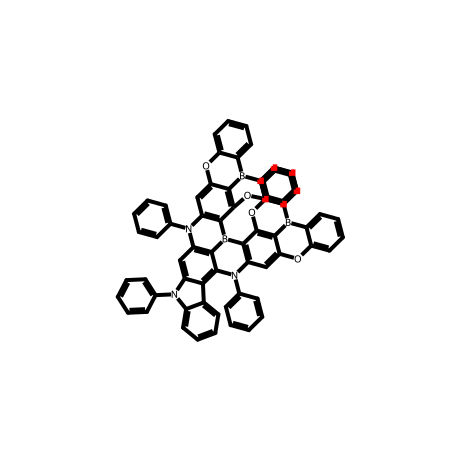 c1ccc(N2c3cc4c5c(c3B3c6c(cc7c8c6Oc6ccccc6B8c6ccccc6O7)N(c6ccccc6)c6c3c2cc2c6c3ccccc3n2-c2ccccc2)Oc2ccccc2B5c2ccccc2O4)cc1